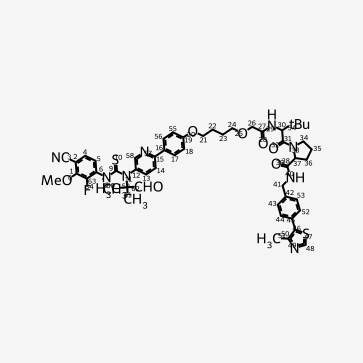 COc1c(C#N)ccc(N(C)C(=S)N(c2ccc(-c3ccc(OCCCCOCC(=O)NC(C(=O)N4CCCC4C(=O)NCc4ccc(-c5scnc5C)cc4)C(C)(C)C)cc3)nc2)C(C)(C)C=O)c1F